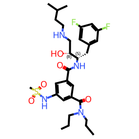 CCCN(CCC)C(=O)c1cc(NS(C)(=O)=O)cc(C(=O)N[C@@H](Cc2cc(F)cc(F)c2)[C@H](O)CNCCC(C)C)c1